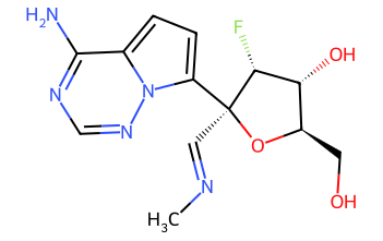 CN=C[C@@]1(c2ccc3c(N)ncnn23)O[C@H](CO)[C@@H](O)[C@H]1F